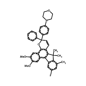 COc1cc2c3c(c4c(c2cc1OC)-c1cc(F)cc(C)c1C4(C)C)C=CC(c1ccccc1)(c1ccc(N2CCOCC2)cc1)O3